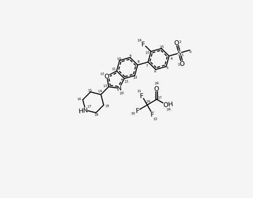 CS(=O)(=O)c1ccc(-c2ccc3oc(C4CCNCC4)nc3c2)c(F)c1.O=C(O)C(F)(F)F